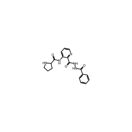 O=C(NNC(=O)c1ncccc1NC(=O)C1CCCN1)c1ccccc1